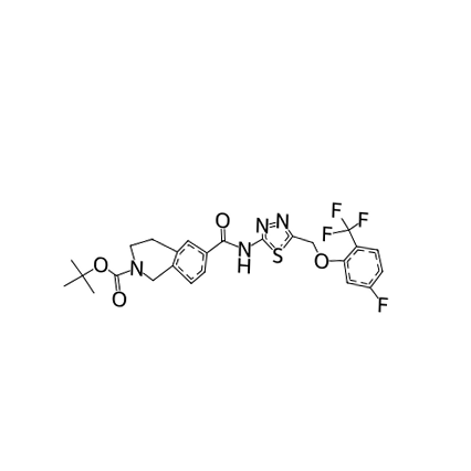 CC(C)(C)OC(=O)N1CCc2cc(C(=O)Nc3nnc(COc4cc(F)ccc4C(F)(F)F)s3)ccc2C1